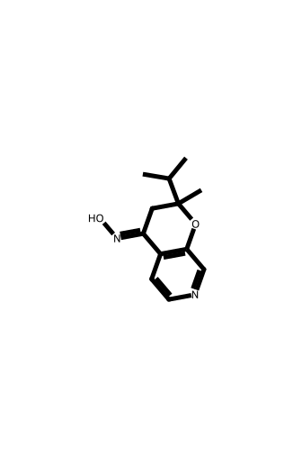 CC(C)C1(C)C/C(=N\O)c2ccncc2O1